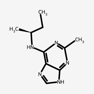 CC[C@H](C)Nc1nc(C)nc2[nH]cnc12